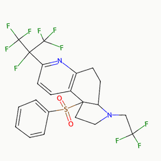 O=S(=O)(c1ccccc1)C12CCN(CC(F)(F)F)C1CCc1nc(C(F)(C(F)(F)F)C(F)(F)F)ccc12